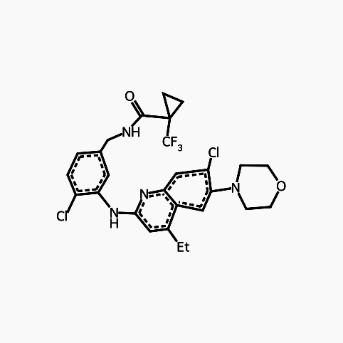 CCc1cc(Nc2cc(CNC(=O)C3(C(F)(F)F)CC3)ccc2Cl)nc2cc(Cl)c(N3CCOCC3)cc12